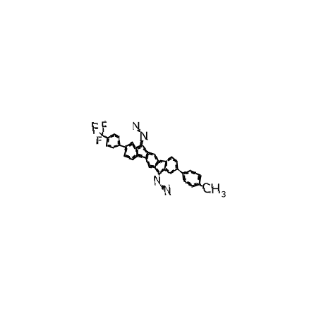 Cc1ccc(-c2ccc3c(c2)/c(=N\C#N)c2cc4c(cc23)/c(=N/C#N)c2cc(-c3ccc(C(F)(F)F)cc3)ccc24)cc1